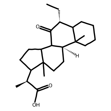 CC[C@H]1C(=O)C2C3CCC([C@H](C)C(=O)O)C3(C)CC[C@@H]2C2(C)CCCCC12